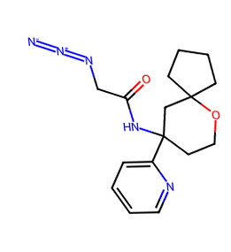 [N-]=[N+]=NCC(=O)NC1(c2ccccn2)CCOC2(CCCC2)C1